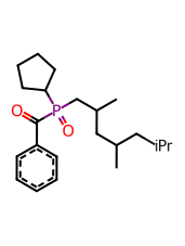 CC(C)CC(C)CC(C)CP(=O)(C(=O)c1ccccc1)C1CCCC1